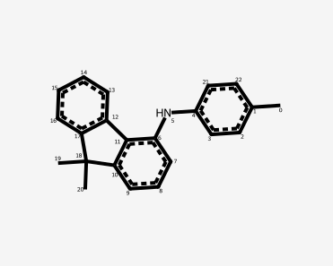 Cc1ccc(Nc2cccc3c2-c2ccccc2C3(C)C)cc1